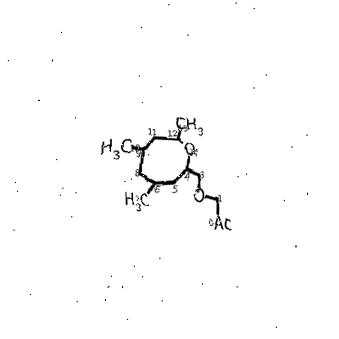 CC(=O)COCC1CC(C)CC(C)CC(C)O1